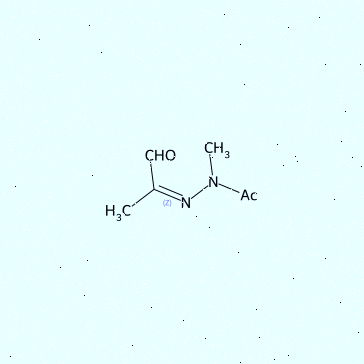 CC(=O)N(C)/N=C(/C)C=O